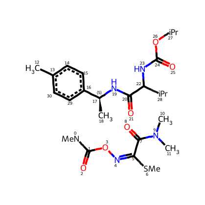 CNC(=O)ON=C(SC)C(=O)N(C)C.Cc1ccc([C@H](C)NC(=O)C(NC(=O)OC(C)C)C(C)C)cc1